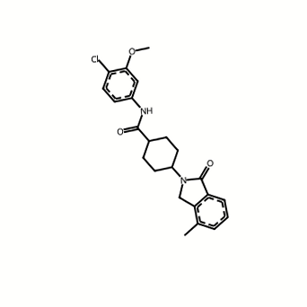 COc1cc(NC(=O)C2CCC(N3Cc4c(C)cccc4C3=O)CC2)ccc1Cl